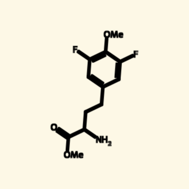 COC(=O)C(N)CCc1cc(F)c(OC)c(F)c1